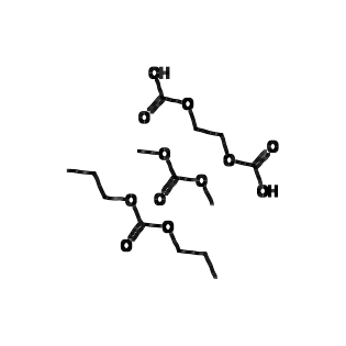 CCCOC(=O)OCCC.COC(=O)OC.O=C(O)OCCOC(=O)O